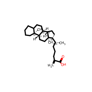 C=C(CCC[C@@H](C)[C@H]1CC[C@H]2[C@@H]3CCC4CCCC[C@]4(C)[C@H]3CC[C@]12C)C(=O)O